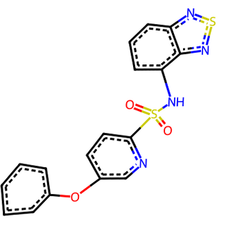 O=S(=O)(Nc1cccc2nsnc12)c1ccc(Oc2ccccc2)cn1